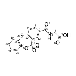 O=C(O)CNC(=O)c1ccc2c(c1)C1(OO1)OC1=C(CCC=C1)S2